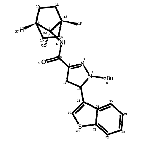 CCCCN1N=C(C(=O)N[C@@]2(C)[C@H]3CC[C@]2(C)CC3)CC1c1csc2ccccc12